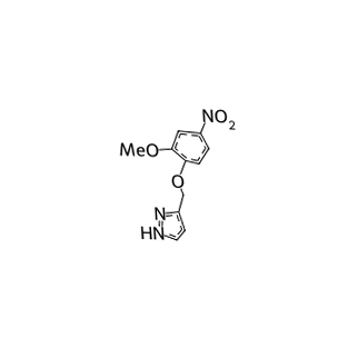 COc1cc([N+](=O)[O-])ccc1OCc1cc[nH]n1